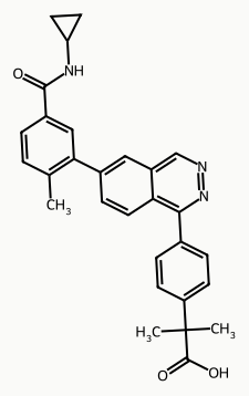 Cc1ccc(C(=O)NC2CC2)cc1-c1ccc2c(-c3ccc(C(C)(C)C(=O)O)cc3)nncc2c1